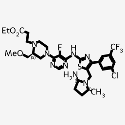 CCOC(=O)CCN1CCN(c2ncnc(Nc3nc(-c4cc(Cl)cc(C(F)(F)F)c4)c(CN4[C@H](C)CC[C@H]4N)s3)c2F)C[C@H]1COC